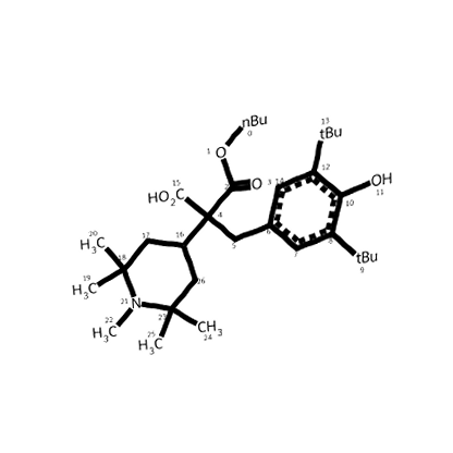 CCCCOC(=O)C(Cc1cc(C(C)(C)C)c(O)c(C(C)(C)C)c1)(C(=O)O)C1CC(C)(C)N(C)C(C)(C)C1